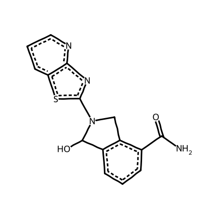 NC(=O)c1cccc2c1CN(c1nc3ncccc3s1)C2O